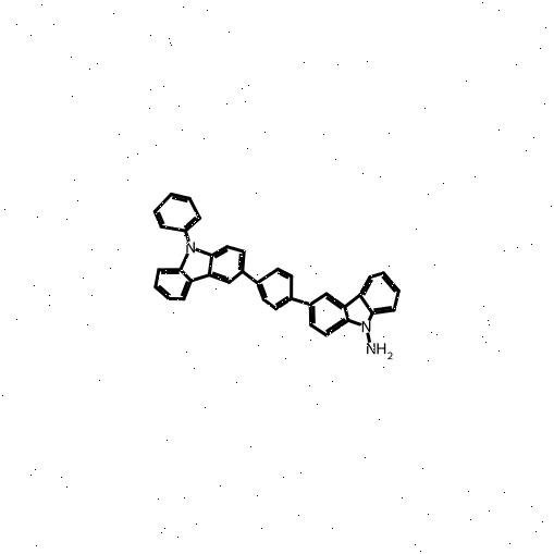 Nn1c2ccccc2c2cc(-c3ccc(-c4ccc5c(c4)c4ccccc4n5-c4ccccc4)cc3)ccc21